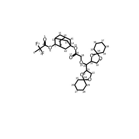 CC(F)(F)C(=O)OC1C2CC3CC1CC(OC(=O)COC(C1COC4(CCCCC4)O1)C1COC4(CCCCC4)O1)(C3)C2